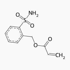 C=CC(=O)OCc1ccccc1S(N)(=O)=O